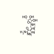 C=N/C(CN[C@H]1O[C@H](CO)C(O)C1O)=C1/C(=O)C(N)=NN(C)/C1=N/C